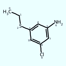 CCSc1cc(N)cc(Cl)c1